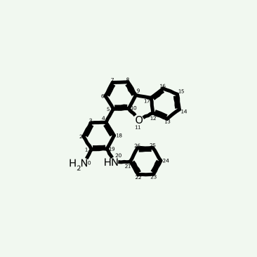 Nc1ccc(-c2cccc3c2oc2ccccc23)cc1Nc1ccccc1